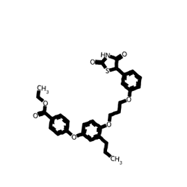 CCCc1cc(Oc2ccc(C(=O)OCC)cc2)ccc1OCCCOc1cccc(C2SC(=O)NC2=O)c1